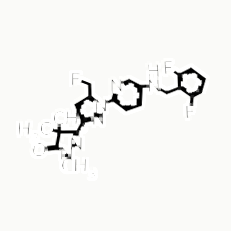 CN1N=C(c2cc(CF)n(-c3ccc(NCc4c(F)cccc4F)cn3)n2)C(C)(C)C1=O